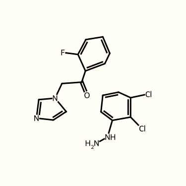 NNc1cccc(Cl)c1Cl.O=C(Cn1ccnc1)c1ccccc1F